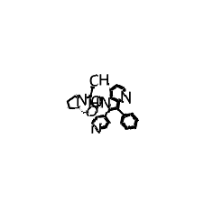 C#CC(=O)N1CCC[C@H]1COc1cnccc1-c1[nH]c2cccnc2c1-c1ccccc1